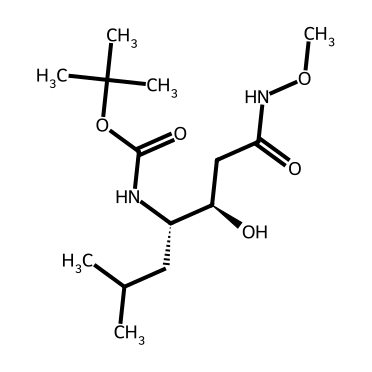 CONC(=O)C[C@@H](O)[C@H](CC(C)C)NC(=O)OC(C)(C)C